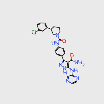 NC(=O)c1c(-c2ccc(NC(=O)N3CCCC(c4cccc(Cl)c4)C3)cc2)n[nH]c1Nc1cnccn1